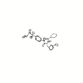 CC(C)(C)NS(=O)(=O)c1ccc(NC(=O)[C@H](Cc2cccc(Cl)c2)NC(=O)C2CCCCC2)cc1